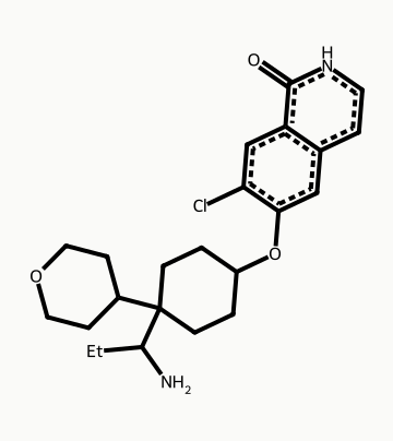 CCC(N)C1(C2CCOCC2)CCC(Oc2cc3cc[nH]c(=O)c3cc2Cl)CC1